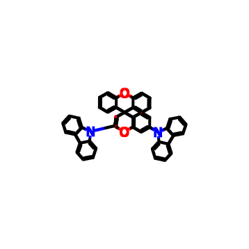 c1ccc2c(c1)Oc1ccccc1C21c2ccc(-n3c4ccccc4c4ccccc43)cc2Oc2cc(-n3c4ccccc4c4ccccc43)ccc21